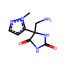 Cn1nccc1C1(CN)NC(=O)NC1=O